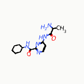 CC(N)C(=O)Nc1ccnc(C(=O)NC2CCCCC2)n1